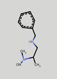 CC(CNCc1ccccc1)N(C)N=O